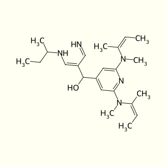 C/C=C(/C)N(C)c1cc(C(O)/C(C=N)=C/NC(C)CC)cc(N(C)/C(C)=C\C)n1